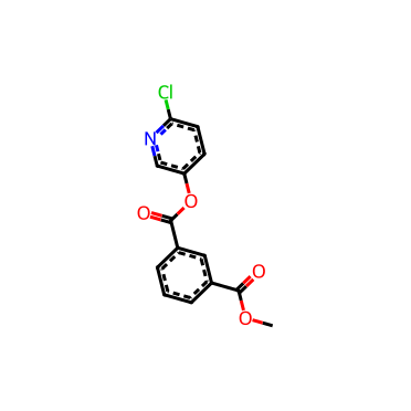 COC(=O)c1cccc(C(=O)Oc2ccc(Cl)nc2)c1